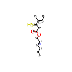 CCC/C=C/COC(=O)CC(S)C(C)CC